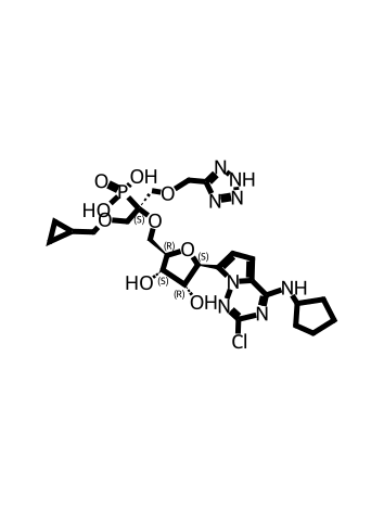 O=P(O)(O)[C@](COCc1nn[nH]n1)(COCC1CC1)OC[C@H]1O[C@@H](c2ccc3c(NC4CCCC4)nc(Cl)nn23)[C@H](O)[C@@H]1O